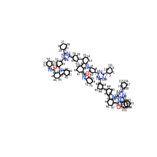 c1ccc(-c2nc(-c3ccc(-n4c5cccc(-c6ccc(-c7nc(-c8ccccc8)nc(-c8cccc(-n9c%10ccccc%10c%10cccc(-c%11nc%12ccccc%12o%11)c%109)c8)n7)cc6)c5c5cccc(-c6nc7ccccc7o6)c54)cc3)nc(-c3cccc(-c4ccc5c(c4)c4cccc(-c6nc7ccccc7o6)c4n5-c4nc(-c5ccccc5)nc(-c5ccccc5)n4)c3)n2)cc1